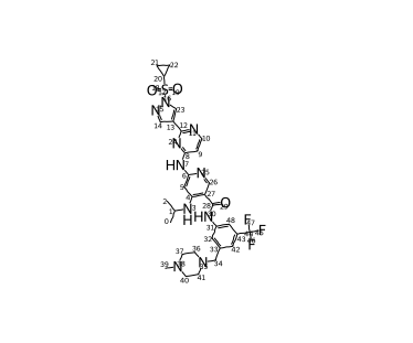 CC(C)Nc1cc(Nc2ccnc(-c3cnn(S(=O)(=O)C4CC4)c3)n2)ncc1C(=O)Nc1cc(CN2CCN(C)CC2)cc(C(F)(F)F)c1